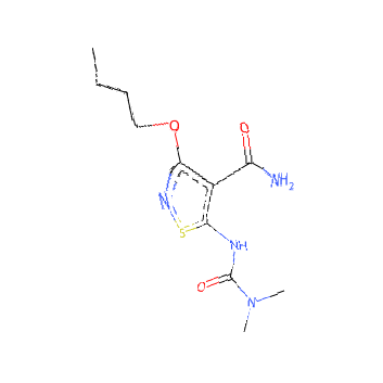 CCCCOc1nsc(NC(=O)N(C)C)c1C(N)=O